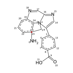 NCC[N+]12C(c3ccc(C(=O)O)cc3)=CN=C1C=Nc1ccccc12